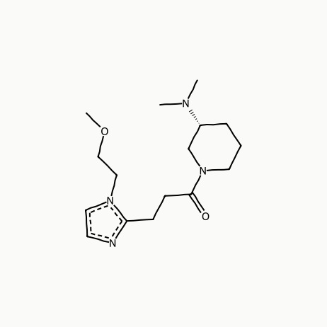 COCCn1ccnc1CCC(=O)N1CCC[C@@H](N(C)C)C1